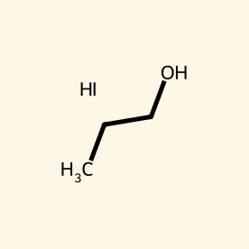 CCCO.I